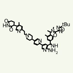 Cc1cc(CCN2CCC(c3ccc(-c4cnc(N)c(C(=N)c5ccc(C(C)N(C)C(=O)c6noc(C(C)(C)C)n6)c(C)c5)c4)nc3)CC2)ncc1C1CCC(=O)NC1=O